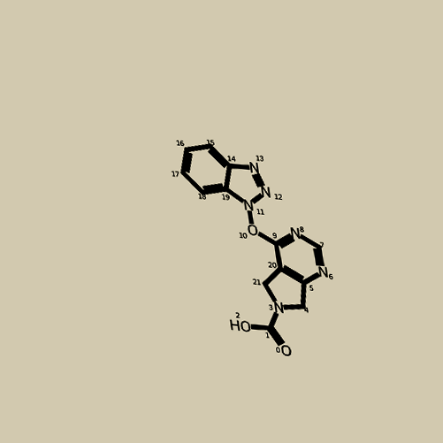 O=C(O)N1Cc2ncnc(On3nnc4ccccc43)c2C1